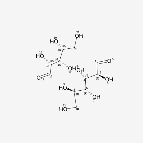 O=C[C@@H](O)[C@@H](O)[C@H](O)[C@H](O)CO.O=C[C@H](O)[C@@H](O)[C@H](O)CO